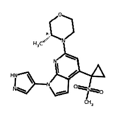 C[C@@H]1COCCN1c1cc(C2(S(C)(=O)=O)CC2)c2ccn(-c3cn[nH]c3)c2n1